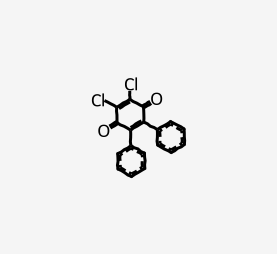 O=C1C(Cl)=C(Cl)C(=O)C(c2ccccc2)=C1c1ccccc1